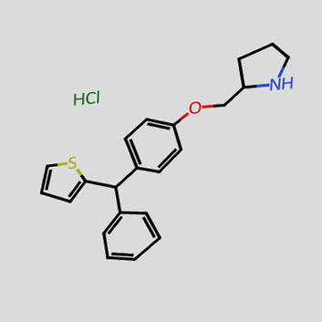 Cl.c1ccc(C(c2ccc(OCC3CCCN3)cc2)c2cccs2)cc1